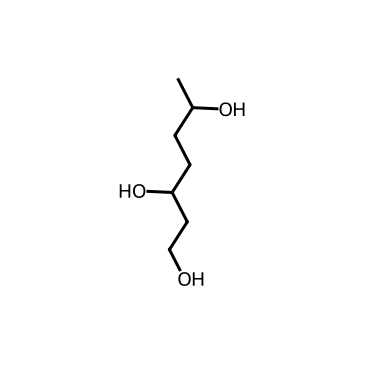 CC(O)CCC(O)CCO